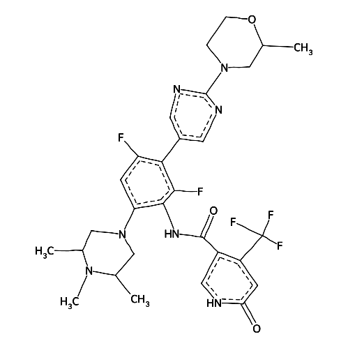 CC1CN(c2ncc(-c3c(F)cc(N4CC(C)N(C)C(C)C4)c(NC(=O)c4c[nH]c(=O)cc4C(F)(F)F)c3F)cn2)CCO1